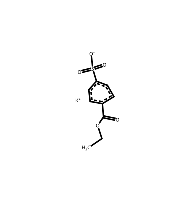 CCOC(=O)c1ccc(S(=O)(=O)[O-])cc1.[K+]